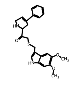 COc1cc2[nH]cc(CSCC(=O)C3CC(c4ccccc4)=CCN3)c2cc1OC